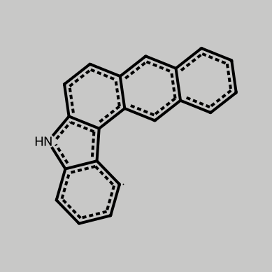 [c]1cccc2[nH]c3ccc4cc5ccccc5cc4c3c12